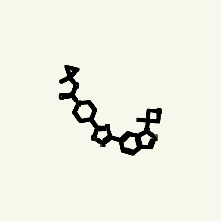 CC1(OC(=O)N2CCC(c3nc(-c4ccc5cnn(C6(C)COC6)c5c4)no3)CC2)CC1